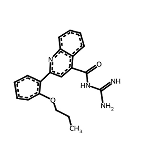 CCCOc1ccccc1-c1cc(C(=O)NC(=N)N)c2ccccc2n1